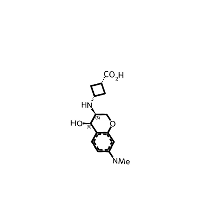 CNc1ccc2c(c1)OC[C@H](N[C@H]1C[C@@H](C(=O)O)C1)[C@@H]2O